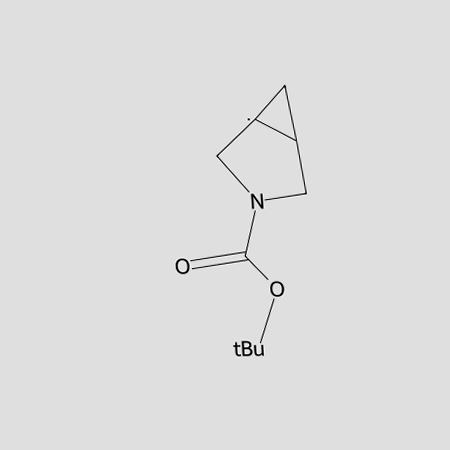 CC(C)(C)OC(=O)N1C[C]2CC2C1